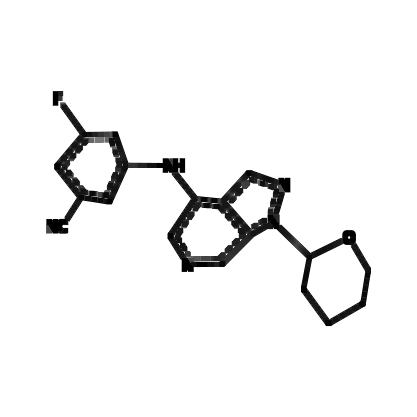 N#Cc1cc(F)cc(Nc2cncc3c2cnn3C2CCCCO2)c1